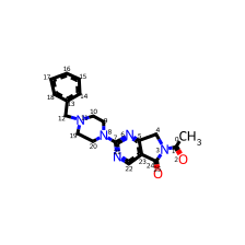 CC(=O)N1Cc2nc(N3CCN(Cc4ccccc4)CC3)ncc2C1=O